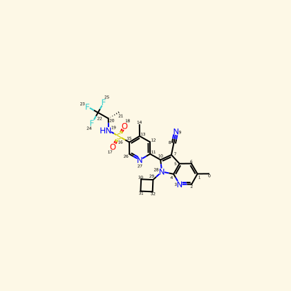 Cc1cnc2c(c1)c(C#N)c(-c1cc(C)c(S(=O)(=O)N[C@@H](C)C(F)(F)F)cn1)n2C1CCC1